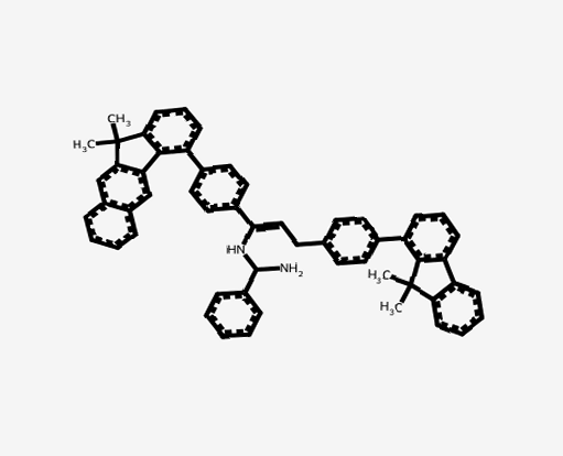 CC1(C)c2cc3ccccc3cc2-c2c(-c3ccc(/C(=C/Cc4ccc(-c5cccc6c5C(C)(C)c5ccccc5-6)cc4)NC(N)c4ccccc4)cc3)cccc21